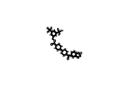 O=C(OCc1cc(C(F)(F)F)cc(C(F)(F)F)c1)N1CCC(N2CCN(C(=O)c3ccc4[nH]nnc4c3)CC2)CC1